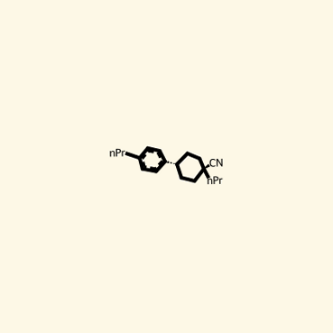 CCCc1ccc([C@H]2CC[C@@](C#N)(CCC)CC2)cc1